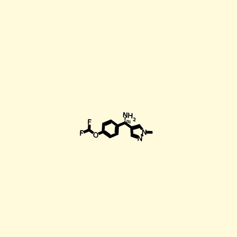 Cn1cc([C@@H](N)c2ccc(OC(F)F)cc2)cn1